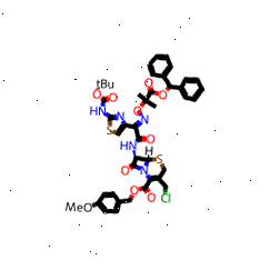 COc1ccc(COC(=O)C2=C(CCl)CS[C@@H]3[C@H](NC(=O)/C(=N/OC(C)(C)C(=O)OC(c4ccccc4)c4ccccc4)c4csc(NC(=O)OC(C)(C)C)n4)C(=O)N23)cc1